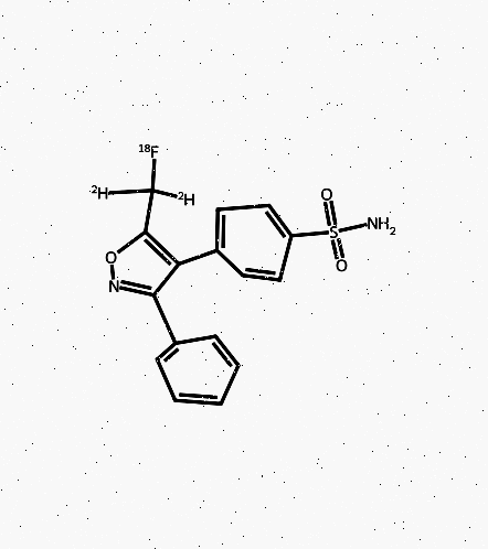 [2H]C([2H])([18F])c1onc(-c2ccccc2)c1-c1ccc(S(N)(=O)=O)cc1